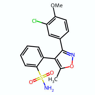 COc1ccc(-c2noc(C)c2-c2ccccc2S(N)(=O)=O)cc1Cl